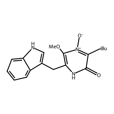 CCC(C)c1c(=O)[nH]c(Cc2c[nH]c3ccccc23)c(OC)[n+]1[O-]